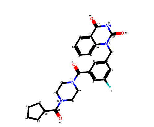 O=C(c1cc(F)cc(Cn2c(=O)[nH]c(=O)c3ccccc32)c1)N1CCN(C(=O)C2CCCC2)CC1